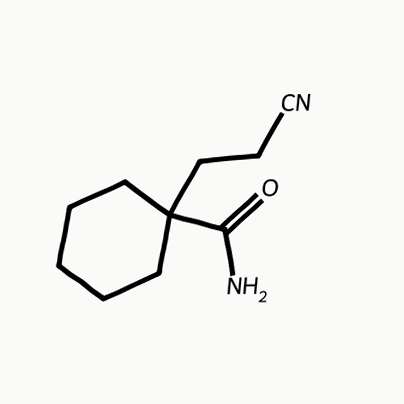 N#CCCC1(C(N)=O)CCCCC1